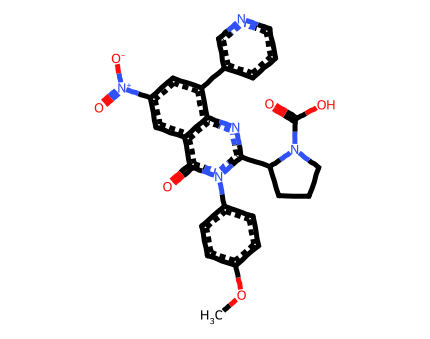 COc1ccc(-n2c(C3CCCN3C(=O)O)nc3c(-c4cccnc4)cc([N+](=O)[O-])cc3c2=O)cc1